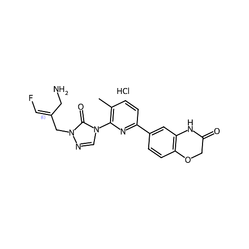 Cc1ccc(-c2ccc3c(c2)NC(=O)CO3)nc1-n1cnn(C/C(=C/F)CN)c1=O.Cl